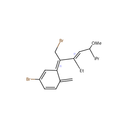 C=c1ccc(Br)c/c1=C(CBr)/C(=C/C(OC)C(C)C)CC